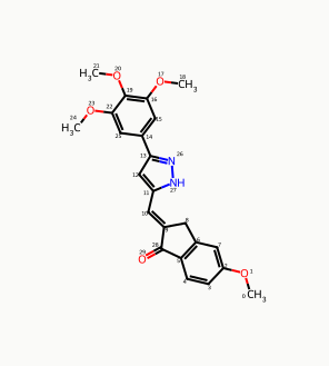 COc1ccc2c(c1)C/C(=C\c1cc(-c3cc(OC)c(OC)c(OC)c3)n[nH]1)C2=O